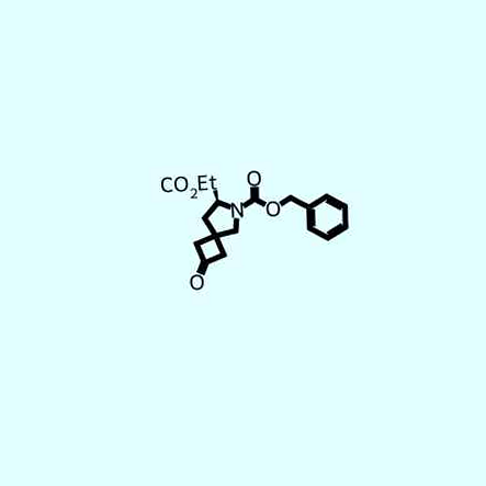 CCOC(=O)[C@@H]1CC2(CC(=O)C2)CN1C(=O)OCc1ccccc1